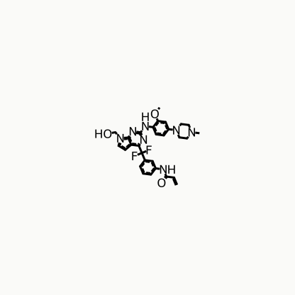 C=CC(=O)Nc1cccc(C(F)(F)c2nc(Nc3ccc(N4CCN(C)CC4)cc3OC)nc3c2ccn3CO)c1